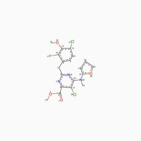 COC(=O)c1nc(Cc2ccc(Cl)c(OC)c2F)nc(N(C)c2ccco2)c1Cl